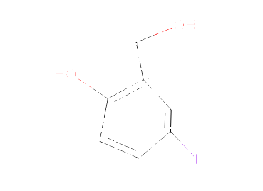 OCc1cc(I)ccc1O